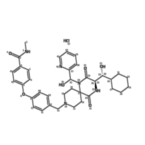 CNC(=O)c1ccc(Oc2ccc(CN3CCC4(CC3)C(=O)N[C@H]([C@H](O)C3CCCCC3)C(=O)N4C(O)c3ccccn3)cc2)cc1.Cl